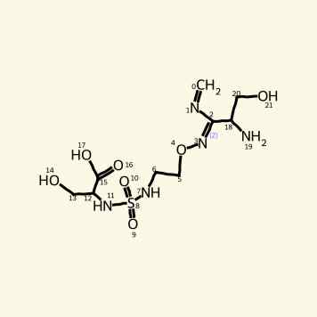 C=N/C(=N\OCCNS(=O)(=O)NC(CO)C(=O)O)C(N)CO